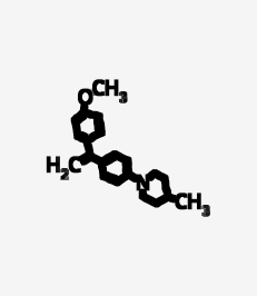 C=C(c1ccc(OC)cc1)c1ccc(N2CCC(C)CC2)cc1